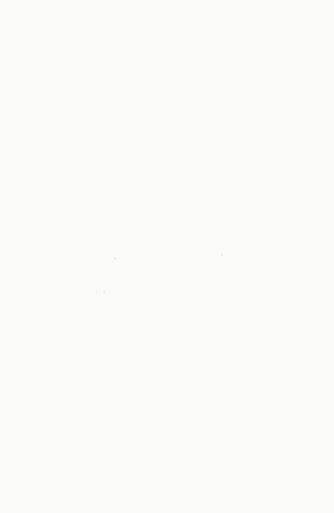 O=CC1CC2=C(C(=O)C=CC2=O)C(O)O1